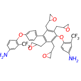 Nc1ccc(Oc2ccc(-c3c(CC4CO4)c(CC4CO4)c(Oc4ccc(N)cc4C(F)(F)F)c(CC4CO4)c3CC3CO3)cc2)c(C(F)(F)F)c1